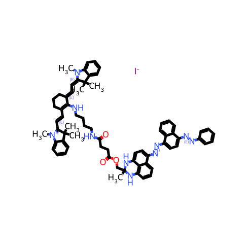 CN1/C(=C/C=C2\CCCC(/C=C/C3=[N+](C)c4ccccc4C3(C)C)=C2NCCCCNC(=O)CCC(=O)OCC2(C)Nc3cccc4c(/N=N/c5ccc(/N=N/c6ccccc6)c6ccccc56)ccc(c34)N2)C(C)(C)c2ccccc21.[I-]